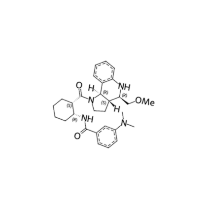 COC[C@@H]1Nc2ccccc2[C@H]2[C@H]1CCN2C(=O)[C@H]1CCCC[C@H]1NC(=O)c1cccc(N(C)C)c1